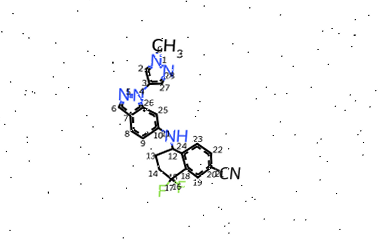 Cn1cc(-n2ncc3ccc(NC4CCC(F)(F)c5cc(C#N)ccc54)cc32)cn1